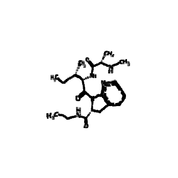 CCNC(=O)[C@H]1Cc2cccnc2N1C(=O)[C@@H](NC(=O)[C@H](C)NC)[C@@H](C)CC